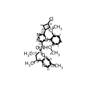 COc1cccc(OC)c1-n1c(NS(=O)(=O)[C@@H](C)[C@H](C)c2ncc(C)cn2)nnc1C1CC(Cl)C1